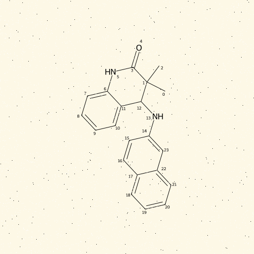 CC1(C)C(=O)Nc2ccccc2C1Nc1ccc2ccccc2c1